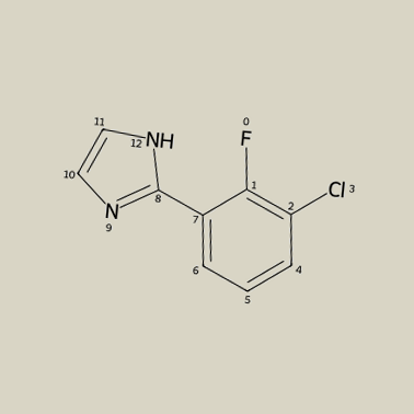 Fc1c(Cl)cccc1-c1ncc[nH]1